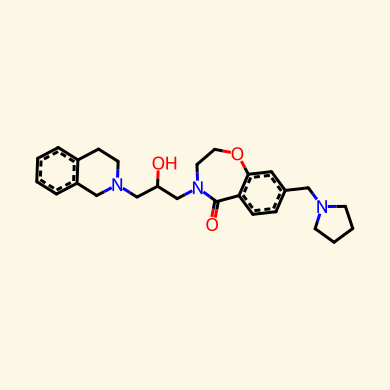 O=C1c2ccc(CN3CCCC3)cc2OCCN1CC(O)CN1CCc2ccccc2C1